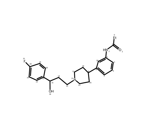 CCC(=O)Nc1cccc(C2CCN(CCC(O)c3ccc(F)cc3)CC2)c1